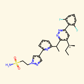 CC[C@H](C)c1cc(-c2c(F)cccc2F)nnc1C(C)c1cccc(-c2cnn(CCS(N)(=O)=O)c2)n1